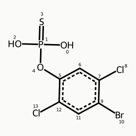 OP(O)(=S)Oc1cc(Cl)c(Br)cc1Cl